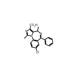 Cc1nc(C(=O)O)c2n1-c1ccc(Cl)cc1C(c1ccccc1)=NC2C